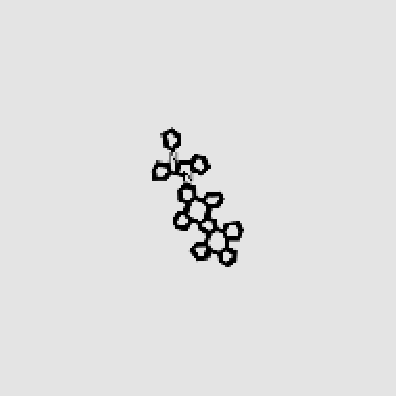 c1ccc(-n2c3ccccc3c3c2c2ccccc2n3-c2ccc3c4ccccc4c4cc5c6ccccc6c6ccccc6c6ccccc6c5cc4c4ccccc4c3c2)cc1